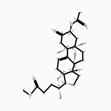 COC(=O)CC[C@@H](C)[C@H]1CC[C@H]2[C@@H]3CC[C@@H]4C[C@H](OC(C)=O)C(=O)C[C@]4(C)C3=CC[C@]12C